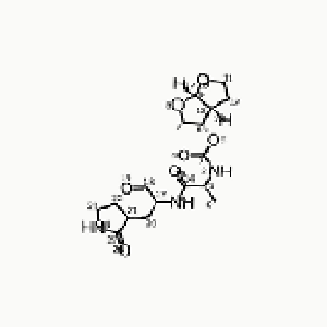 C[C@H](NC(=O)O[C@@H]1CO[C@@H]2OCC[C@@H]21)C(=O)N[C@H](C=O)C[C@@H]1CCNC1=O